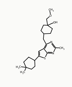 COCC1(O)CCC(Cc2nc(C)nc3sc(C4CCC(C)(C)CC4)cc23)CC1